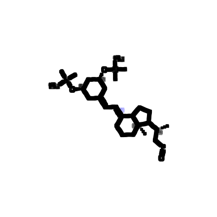 C[C@H](CP=O)C1CCC2/C(=C/C=C3C[C@@H](O[Si](C)(C)C(C)(C)C)C[C@H](O[Si](C)(C)C(C)(C)C)C3)CCC[C@@]21C